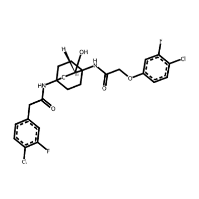 O=C(Cc1ccc(Cl)c(F)c1)NC12CCC(NC(=O)COc3ccc(Cl)c(F)c3)(CC1)[C@@H](O)C2